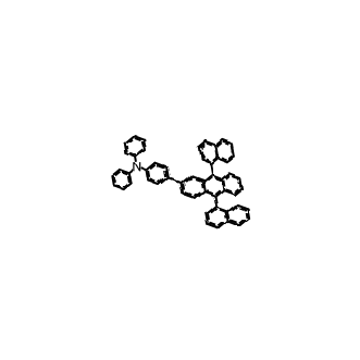 c1ccc(N(c2ccccc2)c2ccc(-c3ccc4c(-c5cccc6ccccc56)c5ccccc5c(-c5cccc6ccccc56)c4c3)cc2)cc1